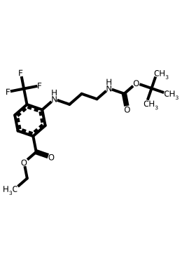 CCOC(=O)c1ccc(C(F)(F)F)c(NCCCNC(=O)OC(C)(C)C)c1